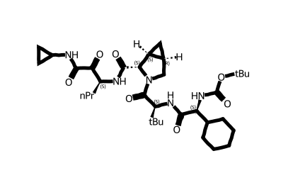 CCC[C@H](NC(=O)[C@@H]1[C@H]2C[C@H]2CN1C(=O)[C@@H](NC(=O)[C@@H](NC(=O)OC(C)(C)C)C1CCCCC1)C(C)(C)C)C(=O)C(=O)NC1CC1